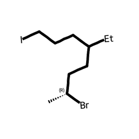 CCC(CCCI)CC[C@@H](C)Br